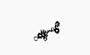 Cn1c(NCCCOc2ccccc2CN2CCCC2)nc2ccc(Cl)cc2c1=O